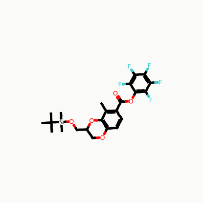 Cc1c(C(=O)Oc2c(F)c(F)c(F)c(F)c2F)ccc2c1OC(CO[Si](C)(C)C(C)(C)C)CO2